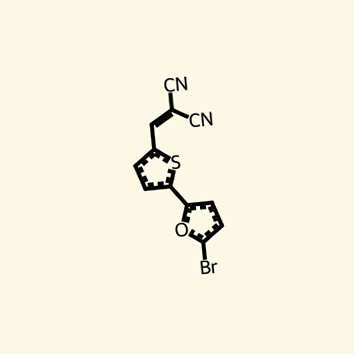 N#CC(C#N)=Cc1ccc(-c2ccc(Br)o2)s1